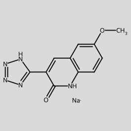 COc1ccc2[nH]c(=O)c(-c3nnn[nH]3)cc2c1.[Na]